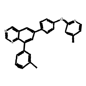 Cc1cccc(-c2cc(-c3ccc(Oc4cc(C)ccn4)cc3)cc3cncnc23)c1